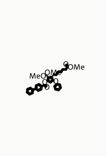 COC(=O)CCC=CCC[C@@H]1[C@@H](C(OC)OC)[C@H](OC(=O)c2ccc(-c3ccccc3)cc2)C[C@H]1Oc1ccccc1